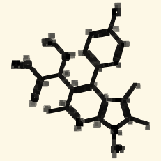 CCCn1c(C)c(C)c2c(-c3ccc(Cl)cc3)c(C(OC(C)(C)C)C(=O)OC)c(C)nc21